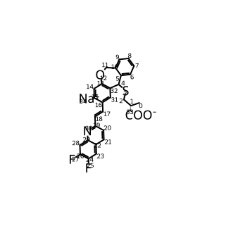 C[C@@H](CSC1c2ccccc2COc2ccc(/C=C/c3ccc4cc(F)c(F)cc4n3)cc21)C(=O)[O-].[Na+]